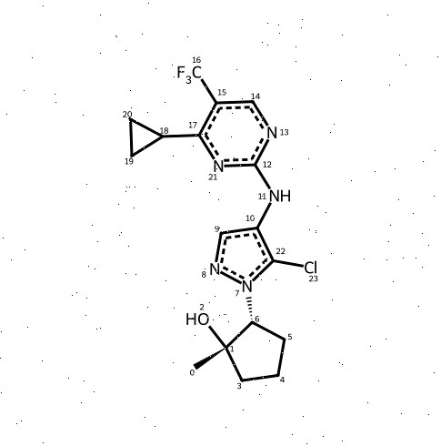 C[C@]1(O)CCC[C@H]1n1ncc(Nc2ncc(C(F)(F)F)c(C3CC3)n2)c1Cl